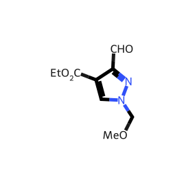 CCOC(=O)c1cn(COC)nc1C=O